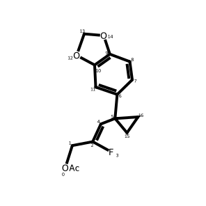 CC(=O)OCC(F)=CC1(c2ccc3c(c2)OCO3)CC1